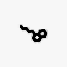 CC=CC=Cc1cccc2ccc[c]c12